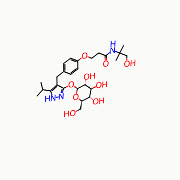 CC(C)c1[nH]nc(O[C@@H]2O[C@H](CO)[C@@H](O)[C@H](O)[C@H]2O)c1Cc1ccc(OCCC(=O)NC(C)(C)CO)cc1